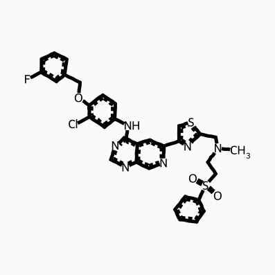 CN(CCS(=O)(=O)c1ccccc1)Cc1nc(-c2cc3c(Nc4ccc(OCc5cccc(F)c5)c(Cl)c4)ncnc3cn2)cs1